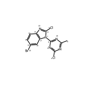 Cc1nc(Cl)nc(-n2c(Cl)nc3ccc(Br)cc32)n1